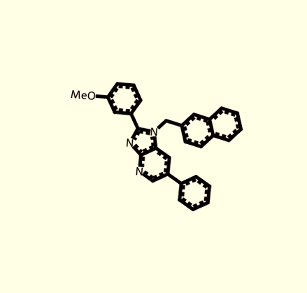 COc1cccc(-c2nc3ncc(-c4ccccc4)cc3n2Cc2ccc3ccccc3c2)c1